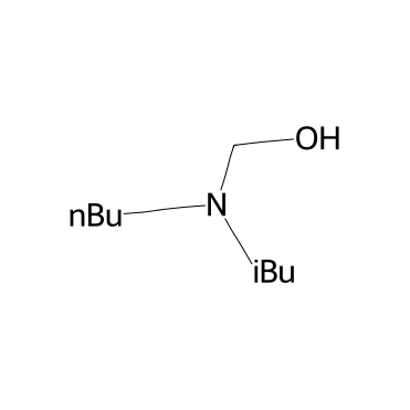 CCCCN(CO)C(C)CC